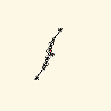 C=CC(=O)OCCCCCCOc1ccc(OC(=O)C2CCC(C(=O)Oc3ccc(OC(=O)C4CCC(C(=O)Oc5ccc(OCCCCCCOC(=O)C=C)cc5)CC4)c4sc(=S)sc34)CC2)cc1